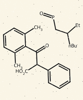 CCCCC(CC)CP=O.Cc1cccc(C)c1C(=O)C(C(=O)O)c1ccccc1